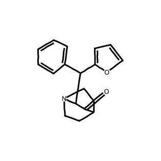 O=C1C2CCN(CC2)C1C(c1ccccc1)c1ccco1